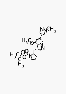 COc1cc(-c2cnn(C)c2)cn2ncc(CC3CCCN3C(=O)OC(C)(C)C)c12